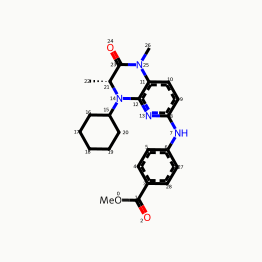 COC(=O)c1ccc(Nc2ccc3c(n2)N(C2CCCCC2)[C@H](C)C(=O)N3C)cc1